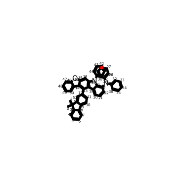 CC1(C)c2ccccc2-c2ccc(-c3c4c(cc5c3c3cccc(N(c6ccccc6)c6ccccc6)c3n5-c3ccccc3)oc3ccccc34)cc21